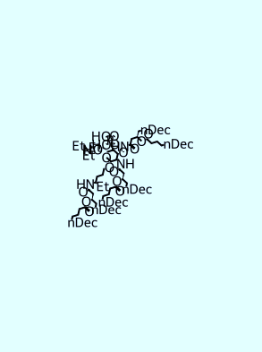 CCCCCCCCCCCCCC(=O)O[C@H](CCCCCCCCCCC)CC(=O)NO[C@@H]1[C@H](NC(=O)C[C@@H](CCCCCCCCCCC)OC(=O)CCCCCCCCCCCCC)[C@@H](OCCCC(CC)NC(=O)C[C@@H](CCCCCCCCCCC)OC(=O)CCCCCCCCCCCCC)O[C@H](CO)[C@H]1OP(=O)(O)O.CCN(CC)CC